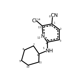 N#Cc1ccc(NC2CCCCC2)nc1Cl